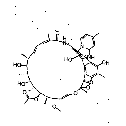 CO[C@H]1/C=C/O[C@@]2(C)Oc3c(C)c(O)c4c(O)c(c5c(c4c3C2=O)NC2C=C(C)C=CN52)NC(=O)/C(C)=C\C=C\[C@H](C)[C@H](O)[C@@H](C)[C@@H](O)[C@@H](C)[C@H](OC(C)=O)[C@@H]1C